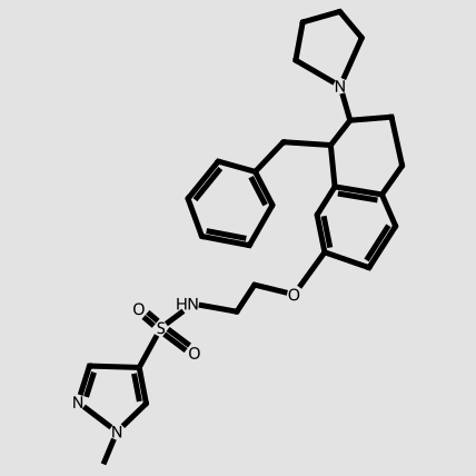 Cn1cc(S(=O)(=O)NCCOc2ccc3c(c2)C(Cc2ccccc2)C(N2CCCC2)CC3)cn1